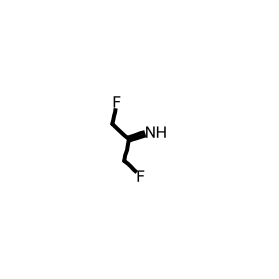 N=C(CF)CF